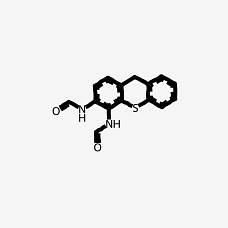 O=CNc1ccc2c(c1NC=O)Sc1ccccc1C2